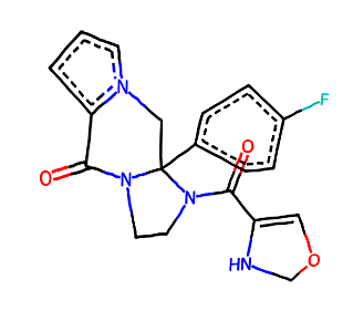 O=C(C1=COCN1)N1CCN2C(=O)c3cccn3CC12c1ccc(F)cc1